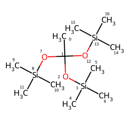 CC(O[Si](C)(C)C)(O[Si](C)(C)C)O[Si](C)(C)C